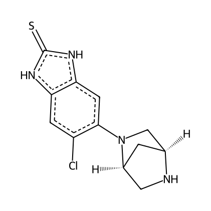 S=c1[nH]c2cc(Cl)c(N3C[C@@H]4C[C@H]3CN4)cc2[nH]1